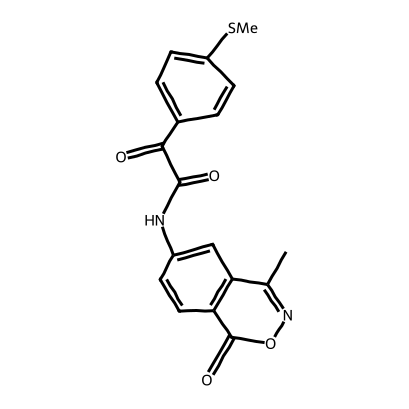 CSc1ccc(C(=O)C(=O)Nc2ccc3c(=O)onc(C)c3c2)cc1